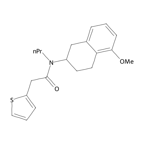 CCCN(C(=O)Cc1cccs1)C1CCc2c(cccc2OC)C1